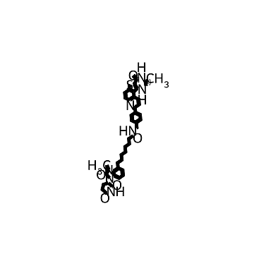 C[C@@H]1CNc2c(sc3ccc4nc(-c5ccc(CNC(=O)CCCCCCCc6cccc7c6n(C)c(=O)n7C6CCC(=O)NC6=O)cc5)ccc4c23)C(=O)N1